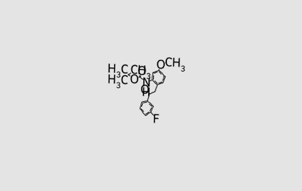 COc1ccc(CC(=O)c2cccc(F)c2)c(NC(=O)OC(C)(C)C)c1